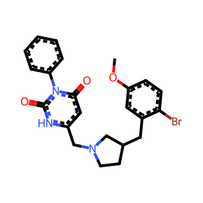 COc1ccc(Br)c(CC2CCN(Cc3cc(=O)n(-c4ccccc4)c(=O)[nH]3)C2)c1